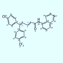 O=C(/C=C/C=C(/c1ccc(Cl)cc1)c1ccc(C(F)(F)F)cc1)Nc1cccc2cnccc12